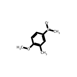 COc1ccc([S+](C)[O-])cc1C